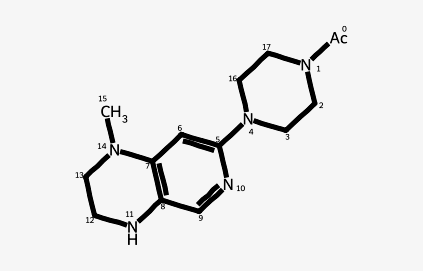 CC(=O)N1CCN(c2cc3c(cn2)NCCN3C)CC1